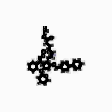 CON=C(C1CCCCC1)[C@@H]1[C@@H](C/C=C\CCCC(=O)OC)[C@@H](OCc2ccc(-c3ccccc3)cc2)C[C@H]1OC1CCCCO1